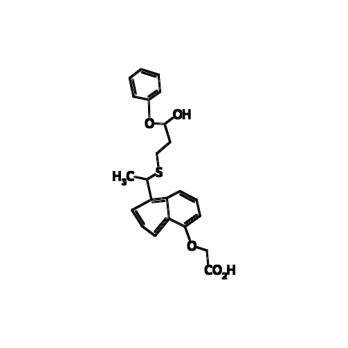 CC(SCCC(O)Oc1ccccc1)c1cccc2c(OCC(=O)O)cccc12